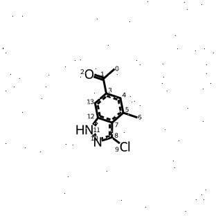 CC(=O)c1cc(C)c2c(Cl)n[nH]c2c1